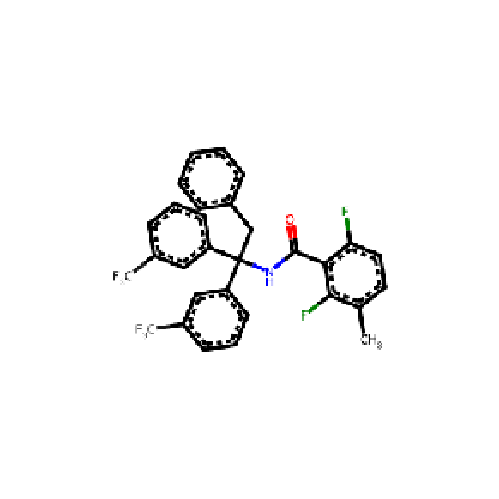 Cc1ccc(F)c(C(=O)NC(Cc2ccccc2)(c2cccc(C(F)(F)F)c2)c2cccc(C(F)(F)F)c2)c1F